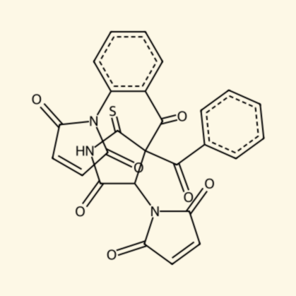 O=C1NC(=S)C(C(=O)c2ccccc2)(C(=O)c2ccccc2N2C(=O)C=CC2=O)C1N1C(=O)C=CC1=O